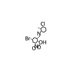 Cc1c(Cl)cccc1/N=C/c1cc(Br)cc([N+](=O)[O-])c1O